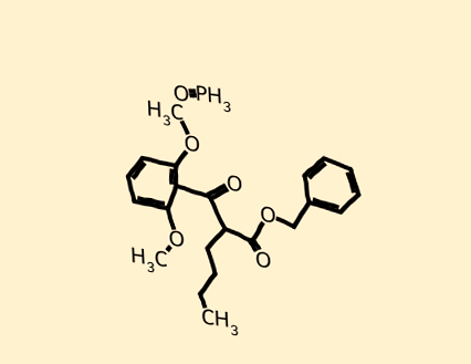 CCCCC(C(=O)OCc1ccccc1)C(=O)c1c(OC)cccc1OC.O=[PH3]